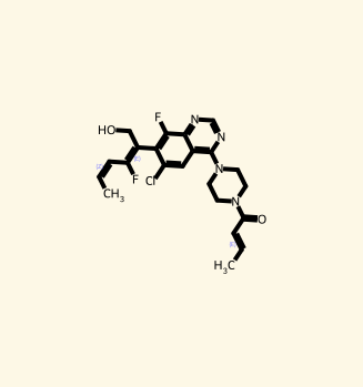 C/C=C\C(F)=C(/CO)c1c(Cl)cc2c(N3CCN(C(=O)/C=C/C)CC3)ncnc2c1F